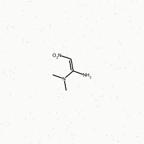 CN(C)C(N)=C[N+](=O)[O-]